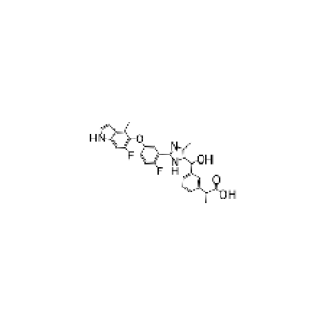 Cc1nc(-c2cc(Oc3c(F)cc4[nH]ccc4c3C)ccc2F)[nH]c1C(O)c1cccc(C(C)C(=O)O)c1